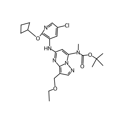 CCOCc1cnn2c(N(C)C(=O)OC(C)(C)C)cc(Nc3cc(Cl)cnc3OC3CCC3)nc12